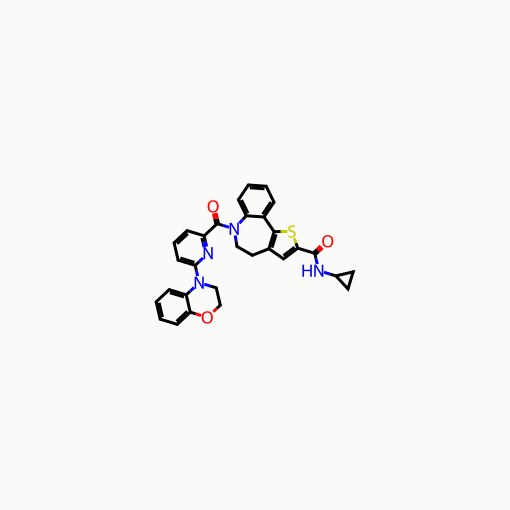 O=C(NC1CC1)c1cc2c(s1)-c1ccccc1N(C(=O)c1cccc(N3CCOc4ccccc43)n1)CC2